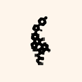 C[C@H]1[C@H](N2CCN(C)CC2)CCN1c1ncc2c3c(c(-c4ncc(F)c5sc(NC(=O)OC(C)(C)C)c(C#N)c45)c(Cl)c2n1)COC3